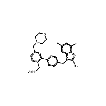 CCc1nc2c(C)cc(C)cc2n1Cc1ccc(-c2cc(CN3CCOCC3)ccc2CNC(C)=O)cc1